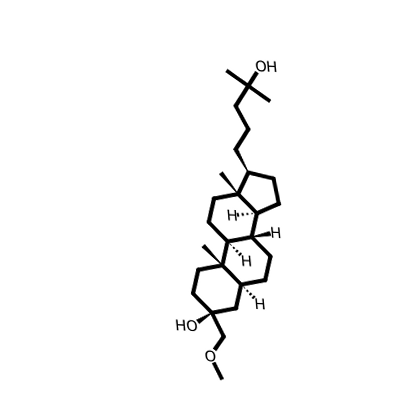 COC[C@]1(O)CC[C@@]2(C)[C@@H](CC[C@@H]3[C@@H]2CC[C@]2(C)[C@@H](CCCC(C)(C)O)CC[C@@H]32)C1